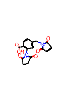 O=C(O)c1ccc(CN2C(=O)C=CC2=O)cc1N1C(=O)CCC1=O